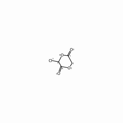 O=C1COC(=O)C(Cl)O1